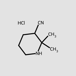 CC1(C)NCCCC1C#N.Cl